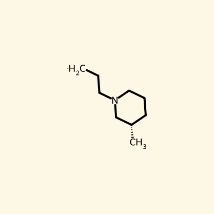 [CH2]CCN1CCC[C@H](C)C1